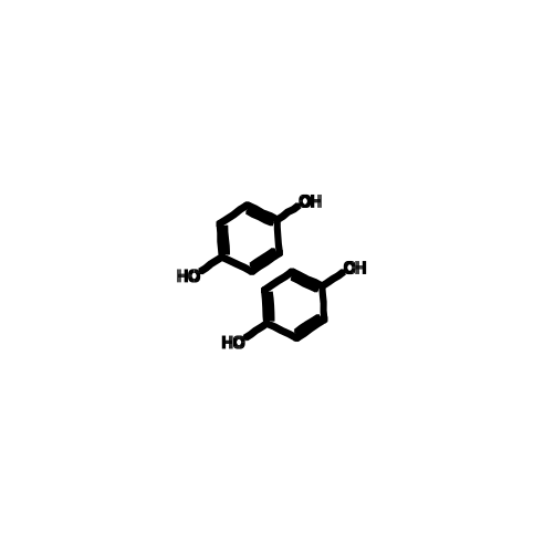 Oc1ccc(O)cc1.Oc1ccc(O)cc1